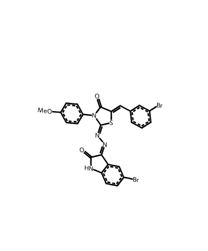 COc1ccc(N2C(=O)C(=Cc3cccc(Br)c3)SC2=NN=C2C(=O)Nc3ccc(Br)cc32)cc1